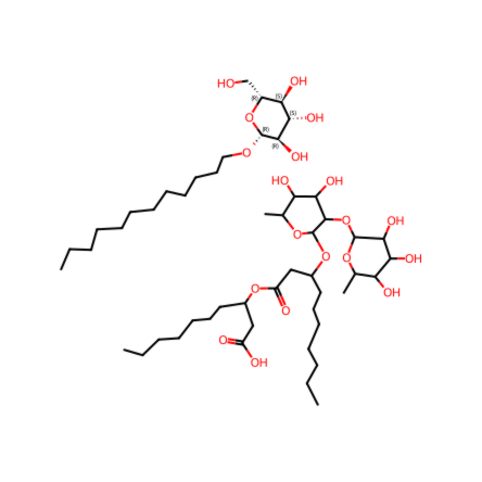 CCCCCCCC(CC(=O)O)OC(=O)CC(CCCCCCC)OC1OC(C)C(O)C(O)C1OC1OC(C)C(O)C(O)C1O.CCCCCCCCCCCCO[C@@H]1O[C@H](CO)[C@@H](O)[C@H](O)[C@H]1O